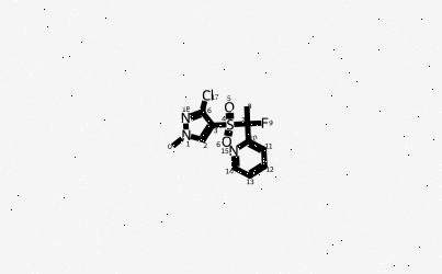 Cn1cc(S(=O)(=O)C(C)(F)c2ccccn2)c(Cl)n1